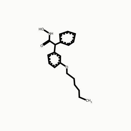 CCCCCCOc1cccc(C(C(=O)NO)c2ccccc2)c1